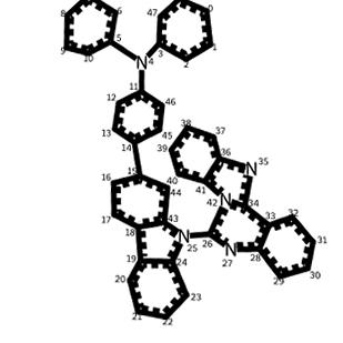 c1ccc(N(c2ccccc2)c2ccc(-c3ccc4c5ccccc5n(-c5nc6ccccc6c6nc7ccccc7n56)c4c3)cc2)cc1